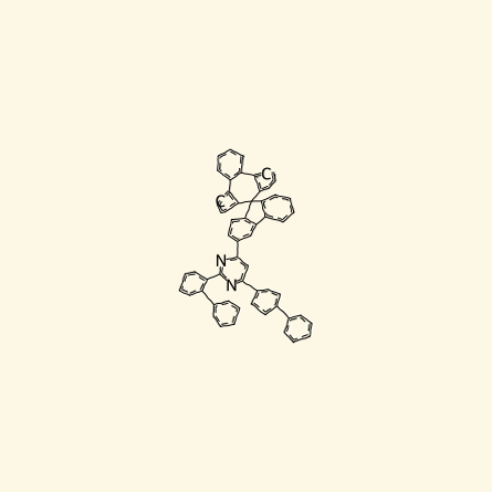 c1ccc(-c2ccc(-c3cc(-c4ccc5c(c4)-c4ccccc4C54c5ccccc5-c5ccccc5-c5ccccc54)nc(-c4ccccc4-c4ccccc4)n3)cc2)cc1